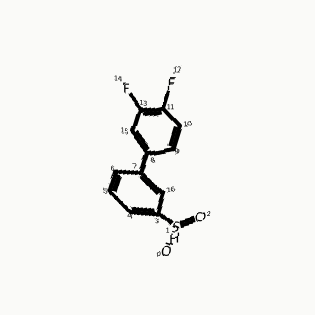 O=[SH](=O)c1cccc(-c2ccc(F)c(F)c2)c1